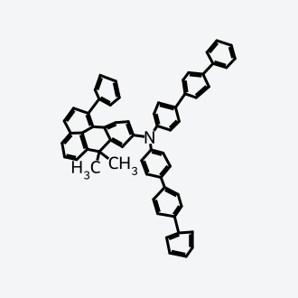 CC1(C)c2cc(N(c3ccc(-c4ccc(-c5ccccc5)cc4)cc3)c3ccc(-c4ccc(-c5ccccc5)cc4)cc3)ccc2-c2c(-c3ccccc3)ccc3cccc1c23